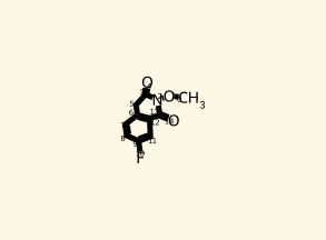 CON1C(=O)Cc2ccc(F)cc2C1=O